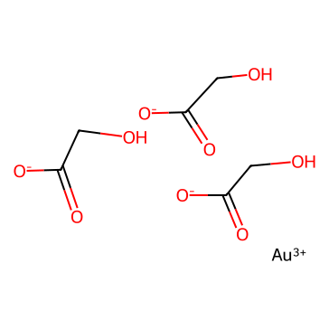 O=C([O-])CO.O=C([O-])CO.O=C([O-])CO.[Au+3]